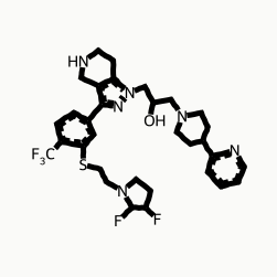 OC(CN1CCC(c2ccccn2)CC1)Cn1nc(-c2ccc(C(F)(F)F)c(SCCN3CCC(F)C3F)c2)c2c1CCNC2